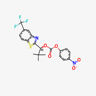 CC(C)(C)[C@H](OC(=O)Oc1ccc([N+](=O)[O-])cc1)c1nc2cc(C(F)(F)F)ccc2s1